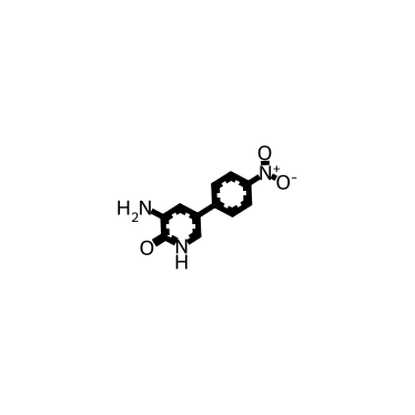 Nc1cc(-c2ccc([N+](=O)[O-])cc2)c[nH]c1=O